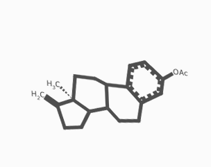 C=C1CCC2C3CCc4cc(OC(C)=O)ccc4C3CC[C@]12C